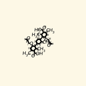 Cc1cc(-c2c(OCC3CO3)cc(C)c(C(=O)O)c2C)ccc1-c1c(OCC2CO2)cc(C)c(C(=O)O)c1C